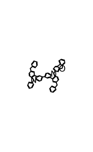 c1ccc(Cc2ccc3c(c2)c2cc(-c4ccc5c(c4)c4cc(Cc6ccccc6)ccc4n5-c4ccc5c(c4)oc4ccccc45)ccc2n3-c2ccccc2)cc1